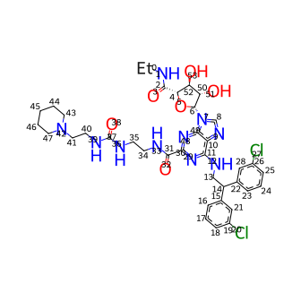 CCNC(=O)[C@H]1O[C@@H](n2cnc3c(NCC(c4cccc(Cl)c4)c4cccc(Cl)c4)nc(C(=O)NCCNC(=O)NCCN4CCCCC4)nc32)[C@@H](O)[C@@H]1O